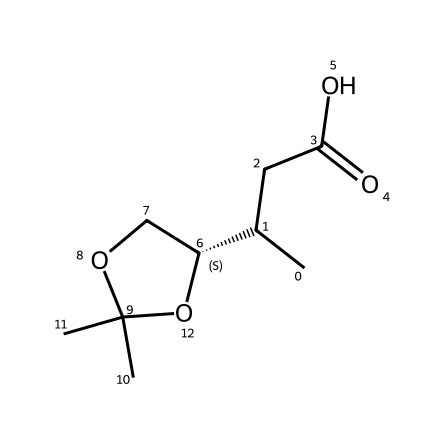 CC(CC(=O)O)[C@H]1COC(C)(C)O1